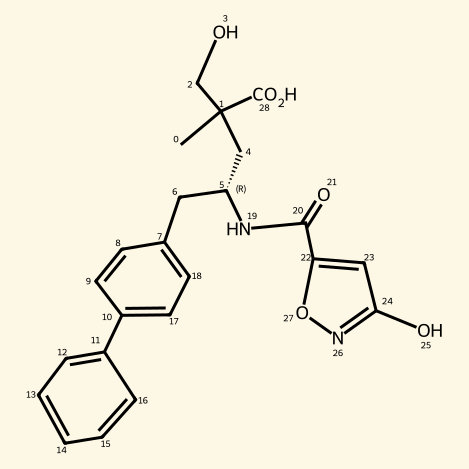 CC(CO)(C[C@@H](Cc1ccc(-c2ccccc2)cc1)NC(=O)c1cc(O)no1)C(=O)O